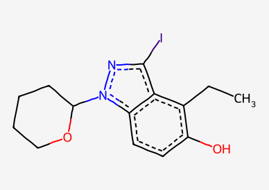 CCc1c(O)ccc2c1c(I)nn2C1CCCCO1